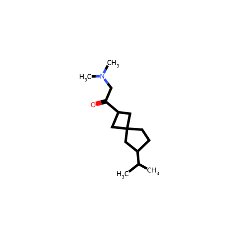 CC(C)C1CCC2(CC(C(=O)CN(C)C)C2)C1